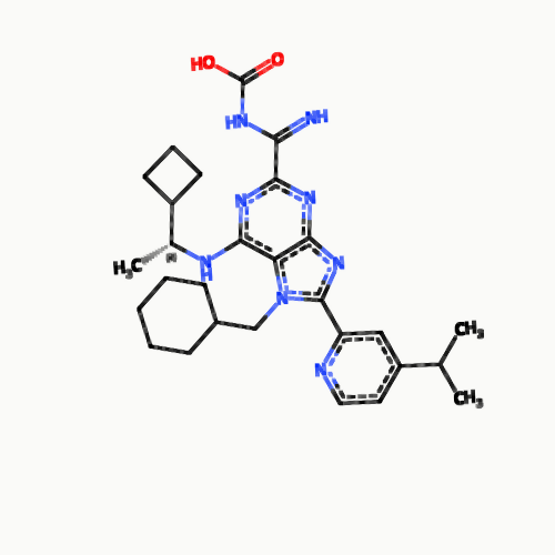 CC(C)c1ccnc(-c2nc3nc(C(=N)NC(=O)O)nc(N[C@H](C)C4CCC4)c3n2CC2CCCCC2)c1